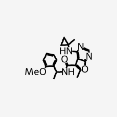 COc1ccccc1C(C)NC(=O)c1c(C)oc2ncnc(NC3(C)CC3)c12